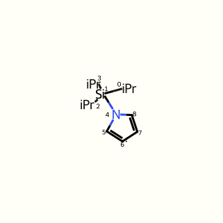 CC(C)[Si](C(C)C)(C(C)C)n1c[c]cc1